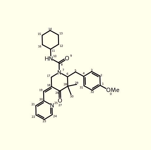 COc1ccc(CC2N(C(=O)NC3CCCCC3)C/C(=C/c3ccccn3)C(=O)C2(C)C)cc1